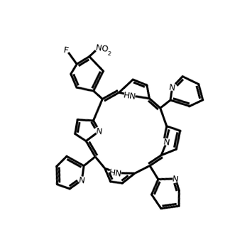 O=[N+]([O-])c1cc(-c2c3nc(c(-c4ccccn4)c4ccc([nH]4)c(-c4ccccn4)c4nc(c(-c5ccccn5)c5ccc2[nH]5)C=C4)C=C3)ccc1F